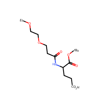 CCOCCOCCC(=O)NC(CCC(=O)O)C(=O)OC(C)(C)C